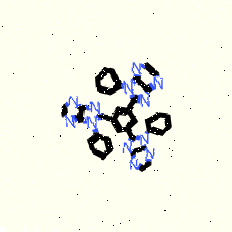 C1=NC2N=C(c3cc(-c4nc5nccnc5n4-c4ccccc4)cc(-c4nc5nccnc5n4-c4ccccc4)c3)N(c3ccccc3)C2N=C1